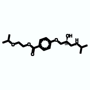 CC(C)NC[C@@H](O)COc1ccc(C(=O)OCCOC(C)C)cc1